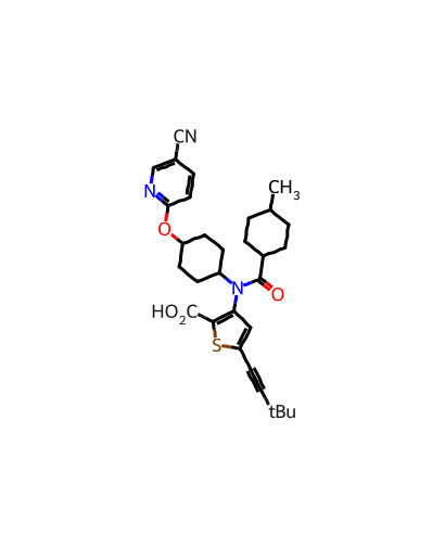 CC1CCC(C(=O)N(c2cc(C#CC(C)(C)C)sc2C(=O)O)C2CCC(Oc3ccc(C#N)cn3)CC2)CC1